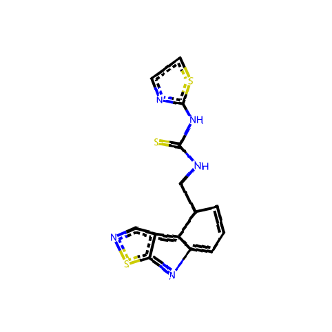 S=C(NCC1C=CC=C2N=c3sncc3=C21)Nc1nccs1